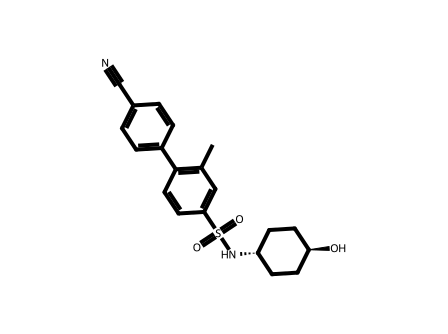 Cc1cc(S(=O)(=O)N[C@H]2CC[C@H](O)CC2)ccc1-c1ccc(C#N)cc1